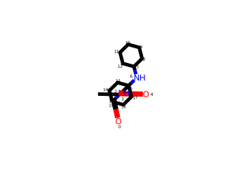 O=C1NC(=O)C2(NC3CCCCC3)CCC1CC2